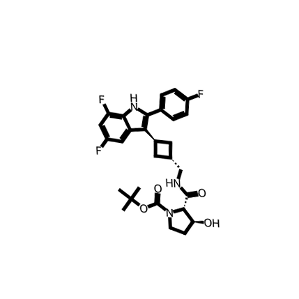 CC(C)(C)OC(=O)N1CC[C@H](O)[C@H]1C(=O)NC[C@H]1C[C@H](c2c(-c3ccc(F)cc3)[nH]c3c(F)cc(F)cc32)C1